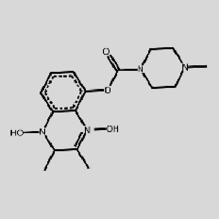 CC1=[N+](O)c2c(OC(=O)N3CCN(C)CC3)cccc2N(O)C1C